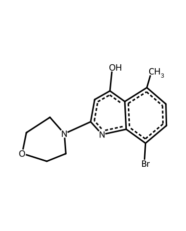 Cc1ccc(Br)c2nc(N3CCOCC3)cc(O)c12